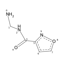 NCNC(=O)c1ccon1